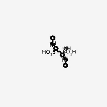 O=S(=O)(O)c1cc(-n2ncc(-c3ccccc3)n2)ccc1/C=C/c1ccc(-n2ncc(-c3ccccc3)n2)cc1S(=O)(=O)O.[KH].[KH]